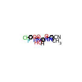 Cc1nc(C(=O)NC23CCC(NC(=O)COc4ccc(Cl)c(F)c4)(CC2)[C@@H](O)C3)ccc1C#N